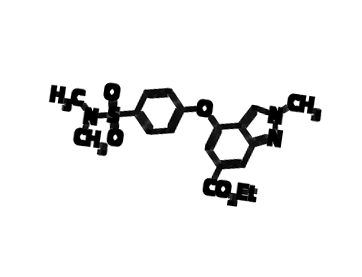 CCOC(=O)c1cc(Oc2ccc(S(=O)(=O)N(C)C)cc2)c2cn(C)nc2c1